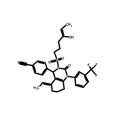 CC=C(O)CCCS(=O)(=O)N1C(=O)N(c2cccc(C(F)(F)F)c2)C2=C(C(=CC)CCC2)C1c1ccc(C#N)cc1